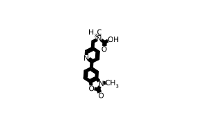 CN(Cc1ccc(-c2ccc3oc(=O)n(C)c3c2)nc1)C(=O)O